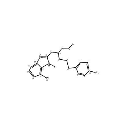 CCCN(CCCc1ccc(F)cc1)Cc1nc2cccc(Cl)c2n1C